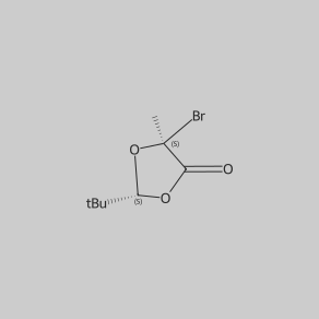 CC(C)(C)[C@H]1OC(=O)[C@](C)(Br)O1